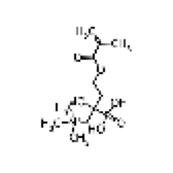 C=C(C)C(=O)OCCC(O)(C[N+](C)(C)C)P(=O)(O)O